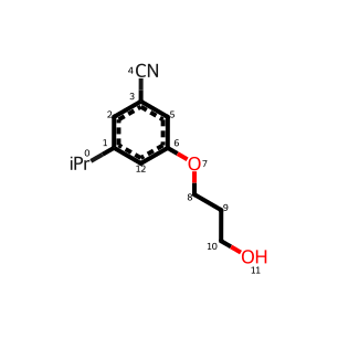 CC(C)c1cc(C#N)cc(OCCCO)c1